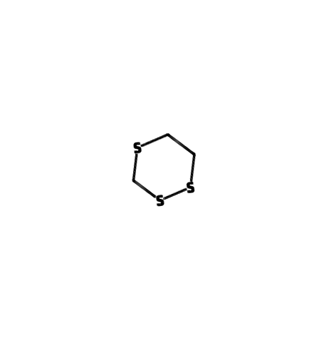 C1CSSCS1